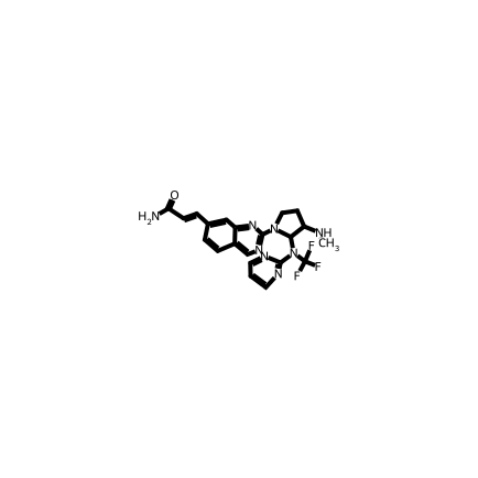 CNC1CCN(c2ncc3ccc(C=CC(N)=O)cc3n2)C1N(c1ncccn1)C(F)(F)F